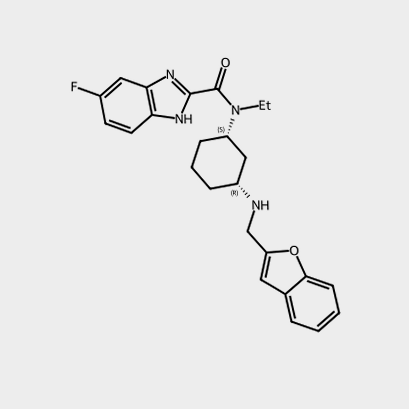 CCN(C(=O)c1nc2cc(F)ccc2[nH]1)[C@H]1CCC[C@@H](NCc2cc3ccccc3o2)C1